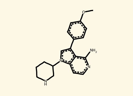 COc1ccc(-c2cn(C3CCCNC3)c3ccnc(N)c23)cc1